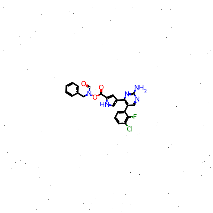 Nc1ncc(-c2cccc(Cl)c2F)c(-c2c[nH]c(C(=O)ON(C=O)Cc3ccccc3)c2)n1